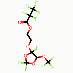 O=C(OCCOC1(F)OC(F)(F)OC1OC(F)(F)F)C(F)(F)C(F)(F)F